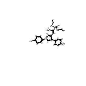 CCOP(=O)(OCC)/C(O)=C/c1nn(-c2ccc(F)cc2)cc1-c1ccc(Cl)cc1